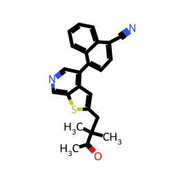 CC(=O)C(C)(C)Cc1cc2c(-c3ccc(C#N)c4ccccc34)cncc2s1